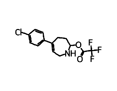 O=C(OC1CCC(c2ccc(Cl)cc2)=CCN1)C(F)(F)F